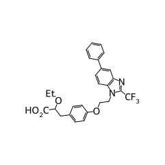 CCOC(Cc1ccc(OCCn2c(C(F)(F)F)nc3cc(-c4ccccc4)ccc32)cc1)C(=O)O